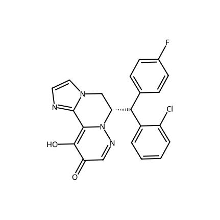 O=c1cnn2c(c1O)-c1nccn1C[C@@H]2C(c1ccc(F)cc1)c1ccccc1Cl